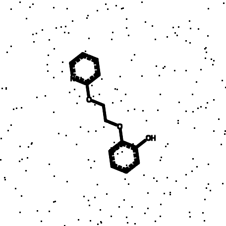 Oc1ccccc1OCCOc1ccccn1